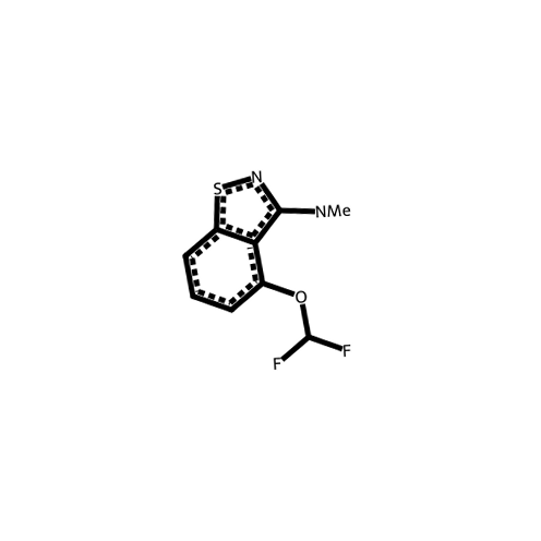 CNc1nsc2cccc(OC(F)F)c12